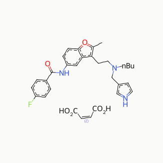 CCCCN(CCc1c(C)oc2ccc(NC(=O)c3ccc(F)cc3)cc12)Cc1cc[nH]c1.O=C(O)/C=C\C(=O)O